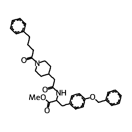 COC(=O)C(Cc1ccc(OCc2ccccc2)cc1)NC(=O)CC1CCN(C(=O)CCCc2ccccc2)CC1